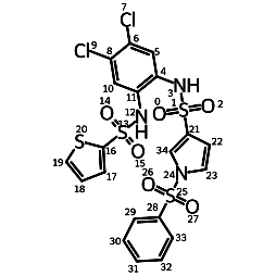 O=S(=O)(Nc1cc(Cl)c(Cl)cc1NS(=O)(=O)c1cccs1)c1ccn(S(=O)(=O)c2ccccc2)c1